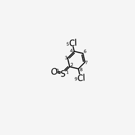 O=S=C1C=C(Cl)C=CC1Cl